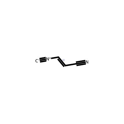 [C-]#[N+]/C=C/C#N